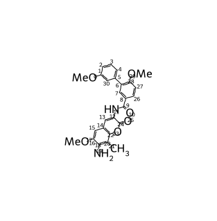 COc1cccc(-c2cc(C(=O)Nc3cc4cc(OC)c(N)c(C)c4oc3=O)ccc2OC)c1